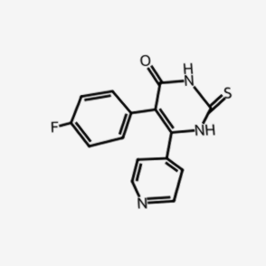 O=c1[nH]c(=S)[nH]c(-c2ccncc2)c1-c1ccc(F)cc1